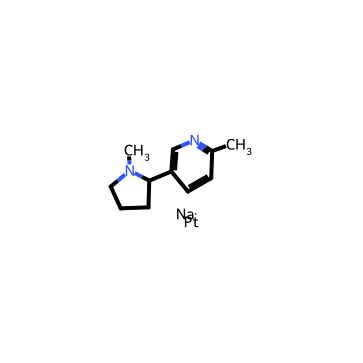 Cc1ccc(C2CCCN2C)cn1.[Na].[Pt]